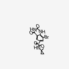 CC1(NS(=O)(=O)c2cc(Br)c3[nH]c(=O)[nH]c(=O)c3c2)CC1